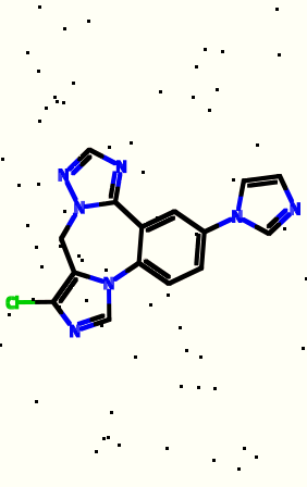 Clc1ncn2c1Cn1ncnc1-c1cc(-n3ccnc3)ccc1-2